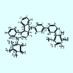 [2H]c1c([2H])c([2H])c(-c2cccc(-c3ccc(-n4c5ccccc5c5c6c7ccccc7n(-c7c([2H])c([2H])c([2H])c([2H])c7[2H])c6ccc54)cc3)c2)c([2H])c1[2H]